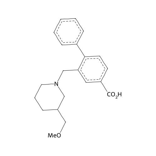 COCC1CCCN(Cc2cc(C(=O)O)ccc2-c2ccccc2)C1